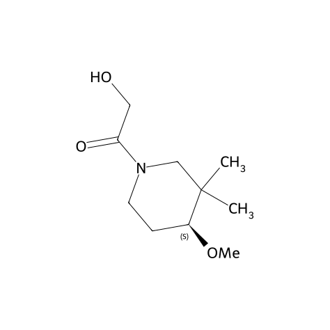 CO[C@H]1CCN(C(=O)CO)CC1(C)C